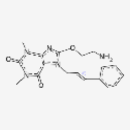 Cn1c(=O)c2c(nc(OCCN)n2C/C=C/c2ccccc2)n(C)c1=O